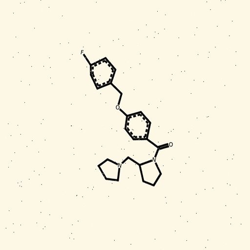 O=C(c1ccc(OCc2ccc(F)cc2)cc1)N1CCCC1CN1CCCC1